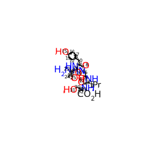 CC(C)[C@H](NC(=O)CNC(=O)[C@H](Cc1ccc(O)cc1)NC(=O)[C@@H](N)[C@@H](C)O)C(=O)N[C@@H](CO)C(=O)O